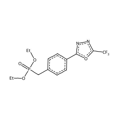 CCOP(=O)(Cc1ccc(-c2nnc(C(F)(F)F)o2)cc1)OCC